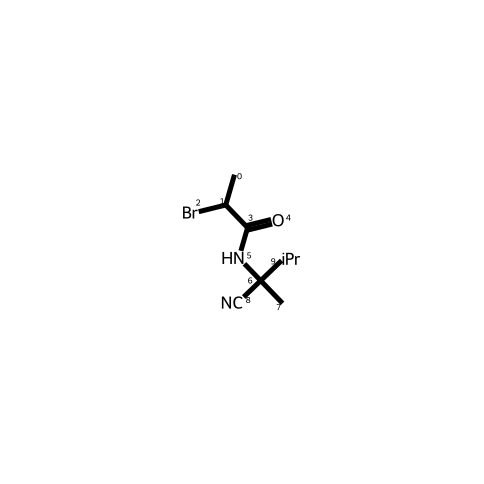 CC(Br)C(=O)NC(C)(C#N)C(C)C